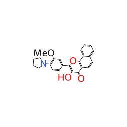 COc1cc(-c2oc3c(ccc4ccccc43)c(=O)c2O)ccc1N1CCCC1